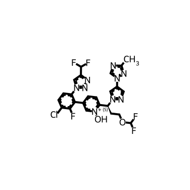 Cc1ncn(-c2cnn([C@@H](CCOC(F)F)c3ccc(-c4c(-n5cc(C(F)F)nn5)ccc(Cl)c4F)c[n+]3O)c2)n1